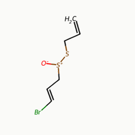 C=CCS[S+]([O-])CC=CBr